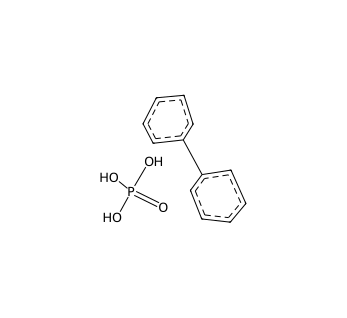 O=P(O)(O)O.c1ccc(-c2ccccc2)cc1